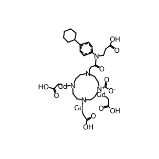 O=C(O)CCN(C(=O)CN1CC[N]([Gd][CH2]C(=O)O)CC[N]([Gd][CH2]C(=O)O)CC[N+]([Gd][CH2]C(=O)O)(C(=O)[O-])CC1)c1ccc(C2CCCCC2)cc1